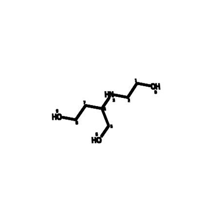 OCCNC(CO)CCO